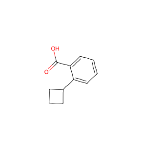 O=C(O)c1ccccc1C1CCC1